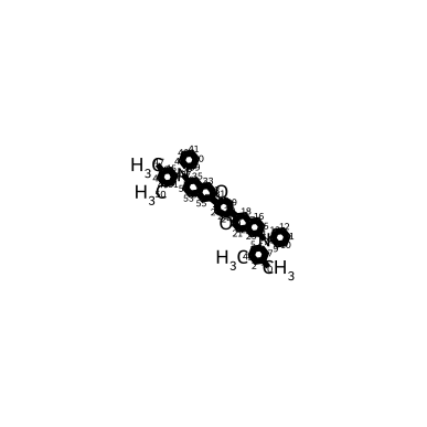 Cc1cc(C)cc(N(c2ccccc2)c2ccc3cc4c(cc3c2)oc2cc3c(cc24)oc2cc4cc(N(c5ccccc5)c5cc(C)cc(C)c5)ccc4cc23)c1